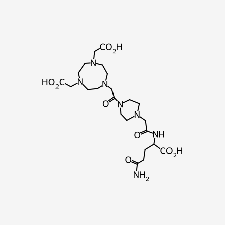 NC(=O)CCC(NC(=O)CN1CCN(C(=O)CN2CCN(CC(=O)O)CCN(CC(=O)O)CC2)CC1)C(=O)O